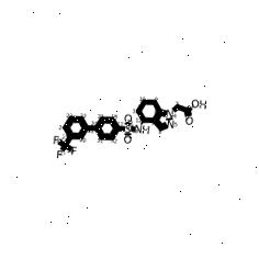 O=C(O)Cn1ncc2c1CCC[C@H]2NS(=O)(=O)c1ccc(-c2cccc(C(F)(F)F)c2)cc1